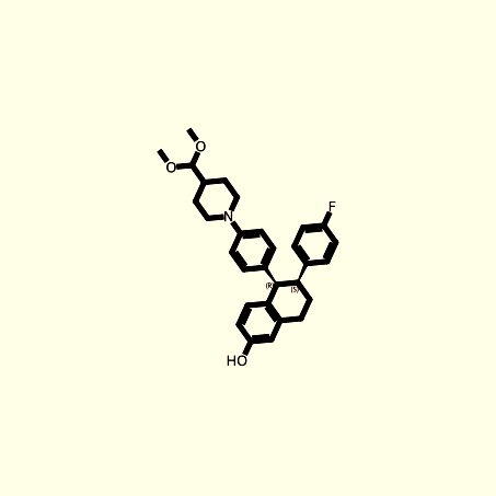 COC(OC)C1CCN(c2ccc([C@@H]3c4ccc(O)cc4CC[C@@H]3c3ccc(F)cc3)cc2)CC1